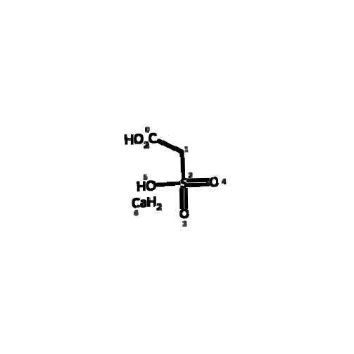 O=C(O)CS(=O)(=O)O.[CaH2]